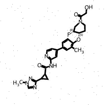 Cc1cc(-c2ccnc(NC(=O)C3CC3c3ncn(C)n3)c2)ccc1O[C@H]1CCN(C(=O)CO)C[C@H]1F